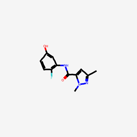 Cc1cc(C(=O)Nc2cc(O)ccc2F)n(C)n1